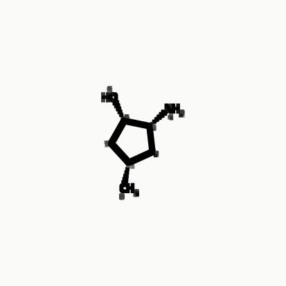 C[C@H]1C[C@@H](N)[C@@H](O)C1